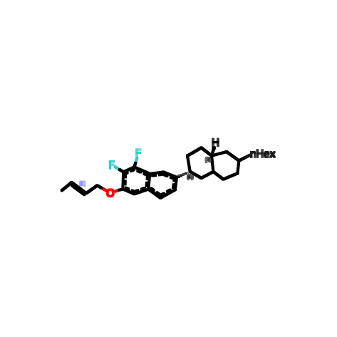 C/C=C/COc1cc2ccc([C@@H]3CC[C@@H]4CC(CCCCCC)CCC4C3)cc2c(F)c1F